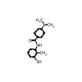 Cc1c(S)cccc1NC(=O)c1ccc(N(C)C)cc1